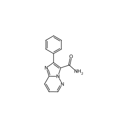 NC(=O)c1c(-c2ccccc2)nc2cccnn12